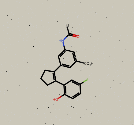 CCC(=O)Nc1cc(C(=O)O)cc(C2=C(c3cc(F)ccc3O)CCC2)c1